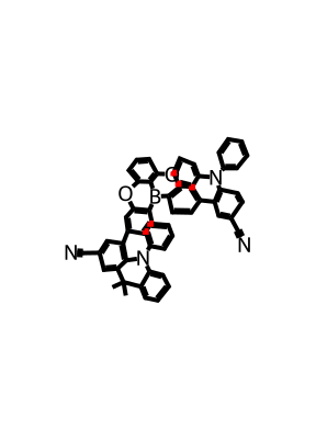 CC1(C)c2ccccc2N(c2ccccc2)c2c(-c3ccc4c(c3)Oc3cccc5c3B4c3ccc(-c4cc(C#N)ccc4N(c4ccccc4)c4ccccc4)cc3O5)cc(C#N)cc21